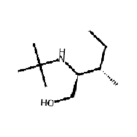 CC[C@H](C)[C@@H](CO)NC(C)(C)C